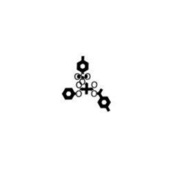 Cc1ccc(C(C)OC(=O)C(C)(COS(=O)(=O)c2ccc(C)cc2)C(=O)Oc2ccccc2)cc1